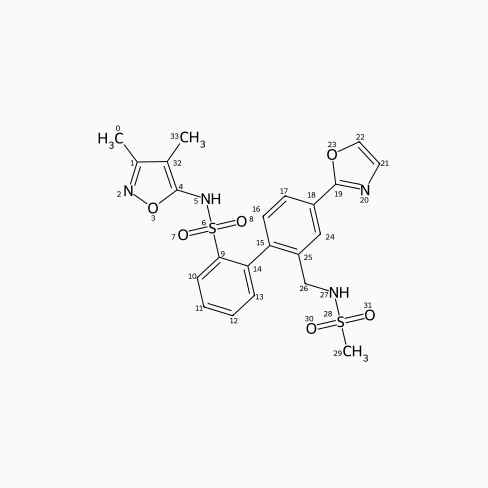 Cc1noc(NS(=O)(=O)c2ccccc2-c2ccc(-c3ncco3)cc2CNS(C)(=O)=O)c1C